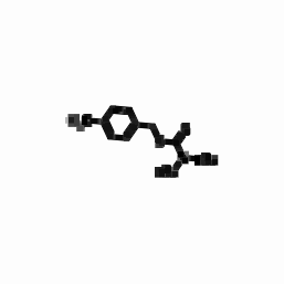 [CH2]c1ccc(CSC(=S)N(CCCC)CCCC)cc1